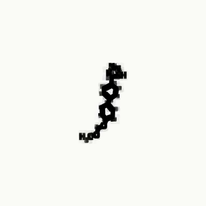 COCOc1ccc(-c2ccc(-c3nnn[nH]3)cc2)cc1